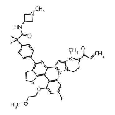 C=CC(=O)N1CCn2nc(-c3nc(-c4ccc(C5(C(=O)NC6CN(C)C6)CC5)cc4)c4ccsc4c3-c3c(F)cc(F)cc3OCCOC)cc2[C@H]1C